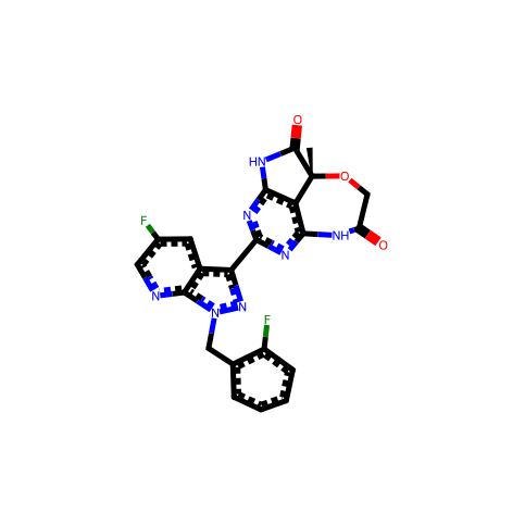 C[C@@]12OCC(=O)Nc3nc(-c4nn(Cc5ccccc5F)c5ncc(F)cc45)nc(c31)NC2=O